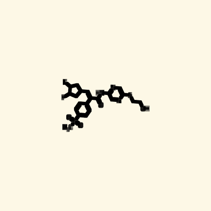 CS(=O)(=O)c1ccc(/C(=C\C2CC(F)C(F)C2)C(=O)Nc2cnc(SCCO)cn2)cc1